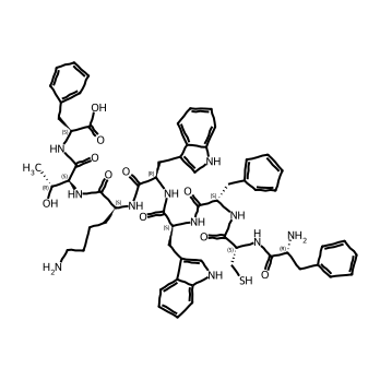 C[C@@H](O)[C@H](NC(=O)[C@H](CCCCN)NC(=O)[C@@H](Cc1c[nH]c2ccccc12)NC(=O)[C@H](Cc1c[nH]c2ccccc12)NC(=O)[C@H](Cc1ccccc1)NC(=O)[C@@H](CS)NC(=O)[C@H](N)Cc1ccccc1)C(=O)N[C@@H](Cc1ccccc1)C(=O)O